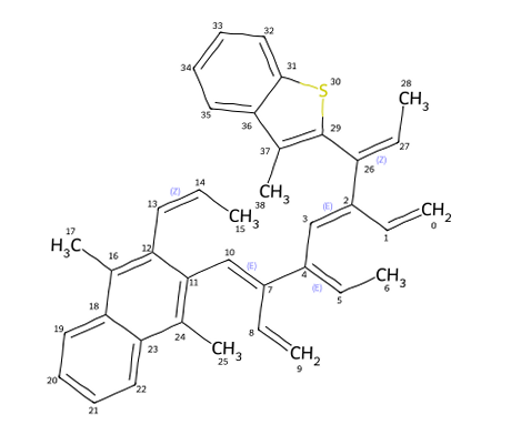 C=CC(=C\C(=C/C)C(\C=C)=C\c1c(/C=C\C)c(C)c2ccccc2c1C)/C(=C/C)c1sc2ccccc2c1C